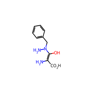 N/C(C(=O)O)=C(/O)N(N)Cc1ccccc1